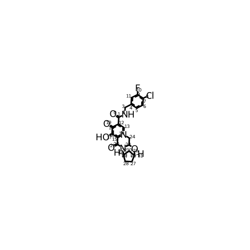 O=C(NCc1ccc(Cl)c(F)c1)c1cn2c(c(O)c1=O)C(=O)N1C(C2)O[C@H]2CC[C@@H]1C2